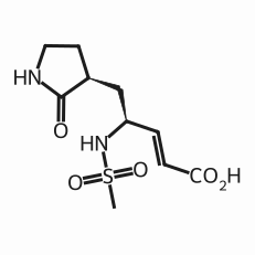 CS(=O)(=O)N[C@H](/C=C/C(=O)O)C[C@@H]1CCNC1=O